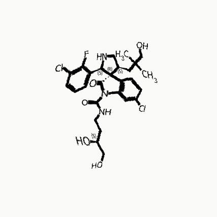 CC(C)(CO)C[C@@H]1CN[C@H](c2cccc(Cl)c2F)[C@@]12C(=O)N(C(=O)NCC[C@H](O)CO)c1cc(Cl)ccc12